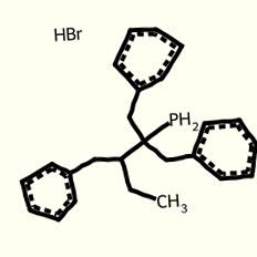 Br.CCC(Cc1ccccc1)C(P)(Cc1ccccc1)Cc1ccccc1